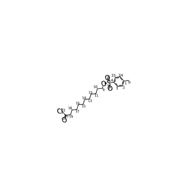 Cc1ccc(S(=O)(=O)OCCCCCCCCCCCC(=O)Cl)cc1